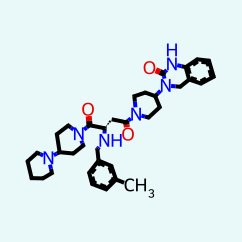 Cc1cccc(CN[C@@H](CC(=O)N2CCC(N3Cc4ccccc4NC3=O)CC2)C(=O)N2CCC(N3CCCCC3)CC2)c1